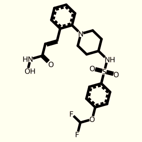 O=C(C=Cc1ccccc1N1CCC(NS(=O)(=O)c2ccc(OC(F)F)cc2)CC1)NO